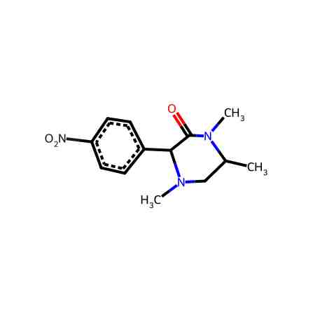 CC1CN(C)C(c2ccc([N+](=O)[O-])cc2)C(=O)N1C